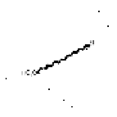 CCC=CCCCCCCCCC=CCC=CCCC(=O)O